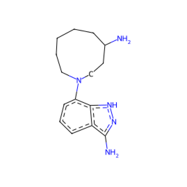 Nc1n[nH]c2c(N3CCCCCC(N)CC3)cccc12